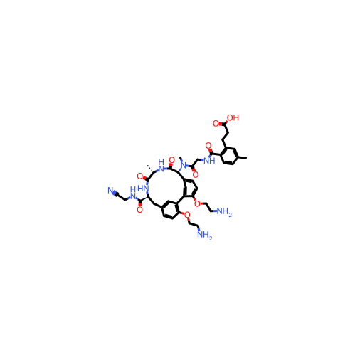 Cc1ccc(C(=O)NCC(=O)N(C)[C@@H]2C(=O)N[C@@H](C)C(=O)N[C@H](C(=O)NCC#N)Cc3ccc(OCCN)c(c3)-c3cc2ccc3OCCN)c(CCC(=O)O)c1